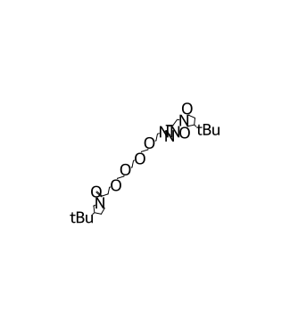 CC(C)(C)C1CCN(C(=O)CCOCCOCCOCCOCCn2cc(CN3C(=O)CC(C(C)(C)C)C3=O)nn2)C1